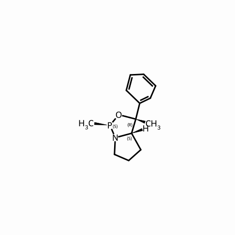 C[P@@]1O[C@](C)(c2ccccc2)[C@@H]2CCCN21